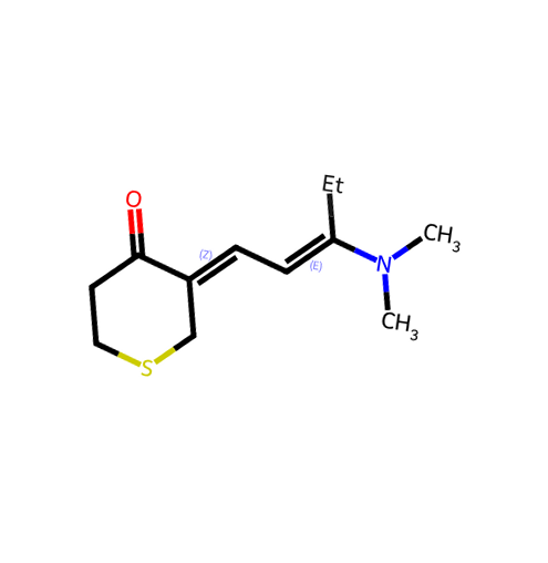 CC/C(=C\C=C1/CSCCC1=O)N(C)C